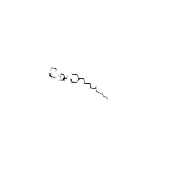 CCCCCCCCCC1CCN(C(=O)CN2CCOCC2)CC1